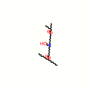 CCCCCCCCC(CCCCCCCC)OC(=O)CCCCCCCN(CCO)CCCCCCCCOC(=O)CC(CCCC)CCCC